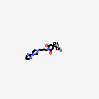 CCC1(C)CC(=O)N(CCCCN2CCN(c3ncccn3)CC2)C(=O)C1